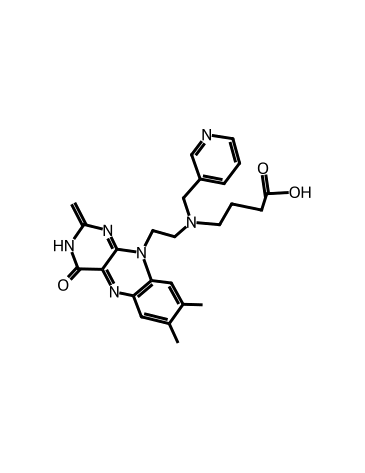 C=c1nc2c(c(=O)[nH]1)=Nc1cc(C)c(C)cc1N2CCN(CCCC(=O)O)Cc1cccnc1